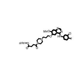 CCCCCCOC(=O)CCC(=O)N1CCN(CCCOc2cc3c(Nc4ccc(F)c(Cl)c4)ncnc3cc2OC)CC1